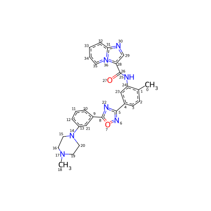 Cc1ccc(-c2noc(-c3cccc(N4CCN(C)CC4)c3)n2)cc1NC(=O)c1cnc2ccccn12